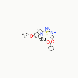 Cc1cc(-c2nnc(N[C@H]3C[C@@H](OC(=O)c4ccccc4)C3)s2)nc2c(C(C)(C)C)cc(OCC(F)(F)F)cc12